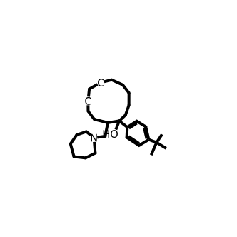 CC(C)(C)c1ccc(C2(O)CCCCCCCCCCC2CN2CCCCCC2)cc1